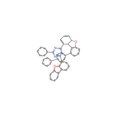 C1=CC2Oc3cccc(-c4ccc(-c5ccccc5)cc4)c3C2C(c2nc(-c3ccccc3)nc(-c3cccc4c3oc3ccccc34)n2)=C1